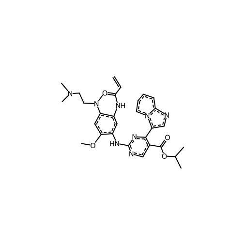 C=CC(=O)Nc1cc(Nc2ncc(C(=O)OC(C)C)c(-c3cnc4ccccn34)n2)c(OC)cc1N(C)CCN(C)C